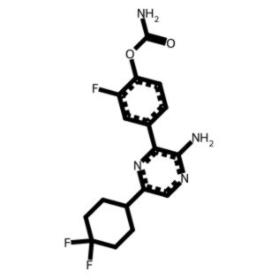 NC(=O)Oc1ccc(-c2nc(C3CCC(F)(F)CC3)cnc2N)cc1F